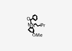 COc1ccc2nc(C(=O)c3ccccc3)n(CCC(C)C)c2c1